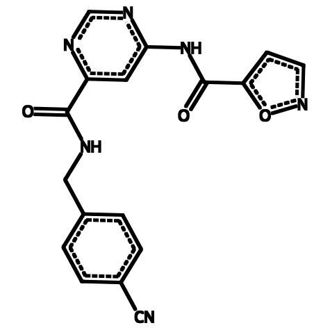 N#Cc1ccc(CNC(=O)c2cc(NC(=O)c3ccno3)ncn2)cc1